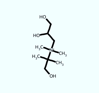 CC(C)(CO)[N+](C)(C)CC(O)CO